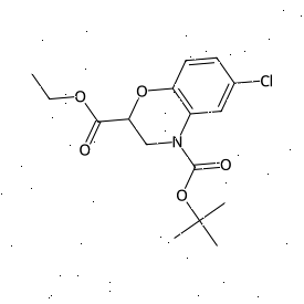 CCOC(=O)C1CN(C(=O)OC(C)(C)C)c2cc(Cl)ccc2O1